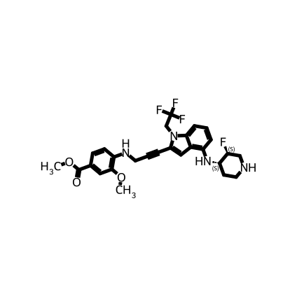 COC(=O)c1ccc(NCC#Cc2cc3c(N[C@H]4CCNC[C@@H]4F)cccc3n2CC(F)(F)F)c(OC)c1